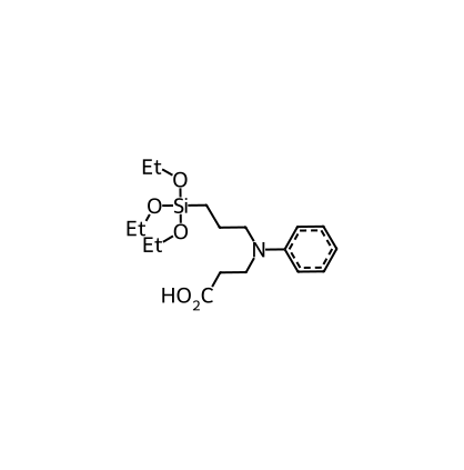 CCO[Si](CCCN(CCC(=O)O)c1ccccc1)(OCC)OCC